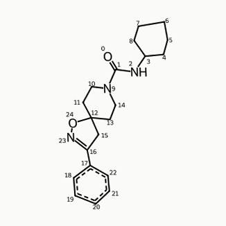 O=C(NC1CCCCC1)N1CCC2(CC1)CC(c1ccccc1)=NO2